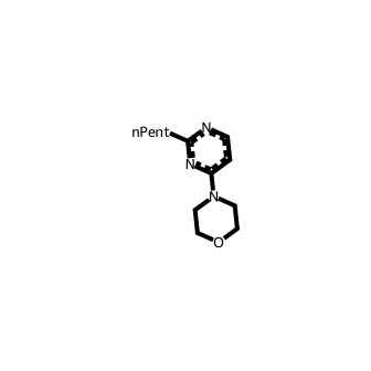 CCCCCc1nccc(N2CCOCC2)n1